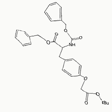 CC(C)(C)OC(=O)COc1ccc(CC(NC(=O)OCc2ccccc2)C(=O)OCc2ccccc2)cc1